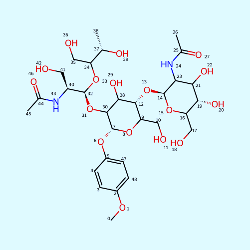 COc1ccc(O[C@H]2OC(CO)[C@@H](O[C@@H]3OC(CO)[C@@H](O)C(O)C3NC(C)=O)C(O)C2O[C@H](OC(CO)[C@H](C)O)[C@H](CO)NC(C)=O)cc1